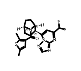 Cc1cc(C(=O)N2[C@H]3CC[C@H](c4cc(C(F)F)nc5ncnn45)[C@@H]2CC3)c(C)s1